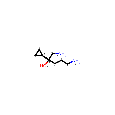 NCCCC(O)(CN)C1CC1